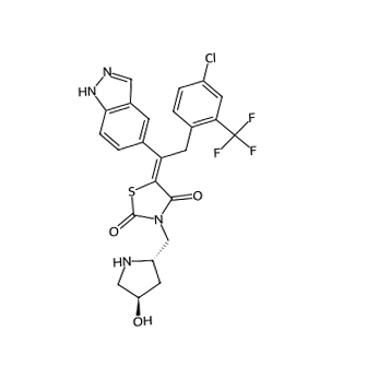 O=C1S/C(=C(/Cc2ccc(Cl)cc2C(F)(F)F)c2ccc3[nH]ncc3c2)C(=O)N1C[C@@H]1C[C@@H](O)CN1